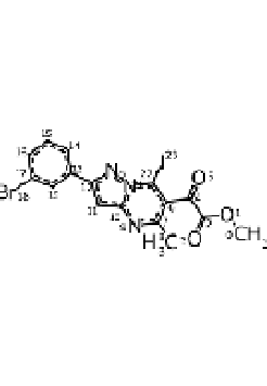 COC(=O)C(=O)c1c(C)nc2cc(-c3cccc(Br)c3)nn2c1I